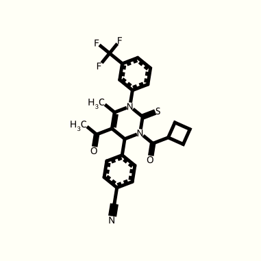 CC(=O)C1=C(C)N(c2cccc(C(F)(F)F)c2)C(=S)N(C(=O)C2CCC2)C1c1ccc(C#N)cc1